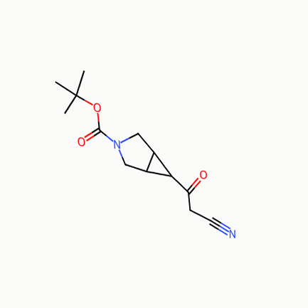 CC(C)(C)OC(=O)N1CC2C(C1)C2C(=O)CC#N